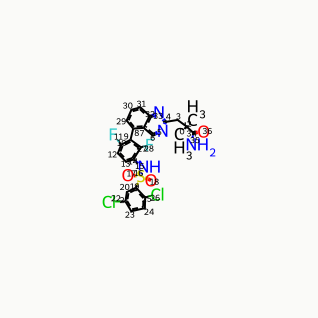 CC(C)(Cc1ncc2c(-c3c(F)ccc(NS(=O)(=O)c4cc(Cl)ccc4Cl)c3F)cccc2n1)C(N)=O